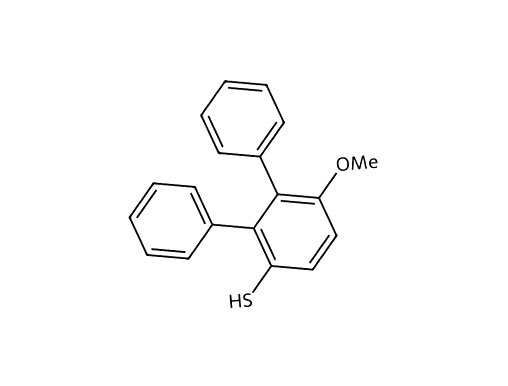 COc1ccc(S)c(-c2ccccc2)c1-c1ccccc1